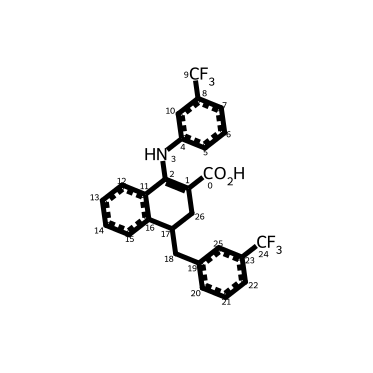 O=C(O)C1=C(Nc2cccc(C(F)(F)F)c2)c2ccccc2C(Cc2cccc(C(F)(F)F)c2)C1